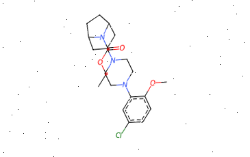 CCOC(=O)N1C2CCC1CC(N1CCN(c3cc(Cl)ccc3OC)CC1)C2